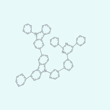 c1ccc(-c2ccc3c(c2)c2cc(-c4ccc5c(c4)c4ccccc4n5-c4ccccc4)ccc2n3-c2cccc(-c3cccc(-c4cc(-c5ccccc5)nc(-c5ccccc5)n4)c3)c2)cc1